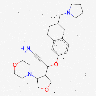 NC#CC(Oc1ccc2c(c1)CCC(CN1CCCC1)C2)C1COCC1N1CCOCC1